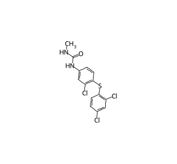 CNC(=O)Nc1ccc(Sc2ccc(Cl)cc2Cl)c(Cl)c1